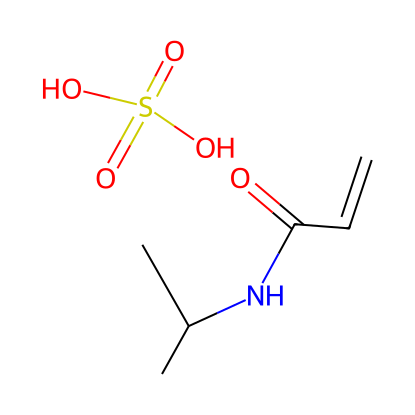 C=CC(=O)NC(C)C.O=S(=O)(O)O